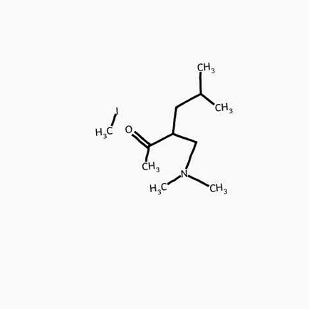 CC(=O)C(CC(C)C)CN(C)C.CI